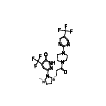 C[C@H]1CC[C@@H](CCC(=O)N2CCN(c3ncc(C(F)(F)F)cn3)CC2)N1c1cc(C(F)(F)F)c(=O)[nH]n1